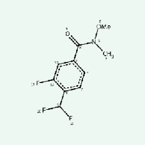 CON(C)C(=O)c1ccc(C(F)F)c(F)c1